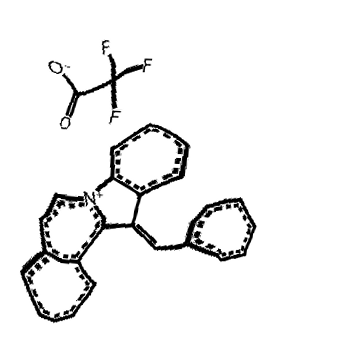 C(=C1c2ccccc2-[n+]2ccc3ccccc3c21)c1ccccc1.O=C([O-])C(F)(F)F